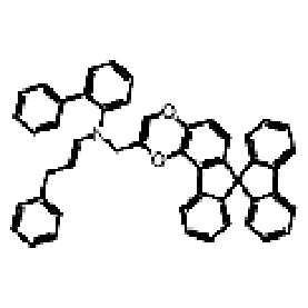 C1=C(CN(/C=C/Cc2ccccc2)c2ccccc2-c2ccccc2)Oc2c(ccc3c2-c2ccccc2C32c3ccccc3-c3ccccc32)O1